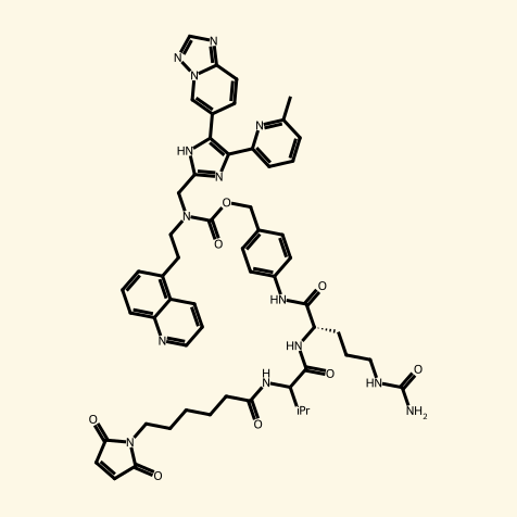 Cc1cccc(-c2nc(CN(CCc3cccc4ncccc34)C(=O)OCc3ccc(NC(=O)[C@H](CCCNC(N)=O)NC(=O)C(NC(=O)CCCCCN4C(=O)C=CC4=O)C(C)C)cc3)[nH]c2-c2ccc3ncnn3c2)n1